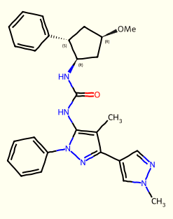 CO[C@H]1C[C@@H](NC(=O)Nc2c(C)c(-c3cnn(C)c3)nn2-c2ccccc2)[C@H](c2ccccc2)C1